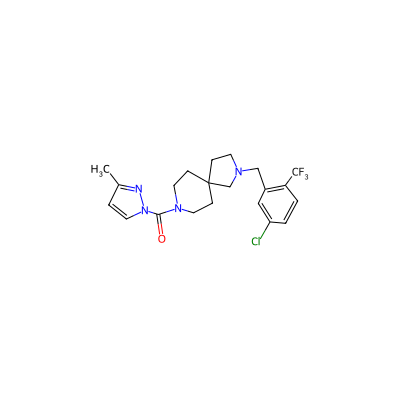 Cc1ccn(C(=O)N2CCC3(CCN(Cc4cc(Cl)ccc4C(F)(F)F)C3)CC2)n1